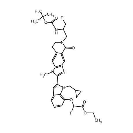 CCOC(=O)C(F)Oc1cccc2cc(-c3nc4cc5c(cc4n3C)CCN(CC(CF)NC(=O)OC(C)(C)C)C5=O)n(CC3CC3)c12